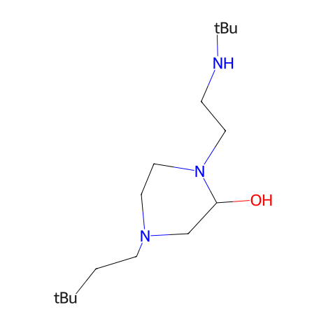 CC(C)(C)CCN1CCN(CCNC(C)(C)C)C(O)C1